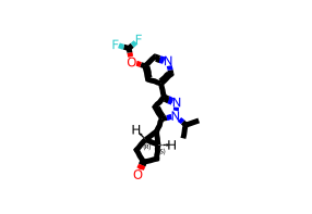 CC(C)n1nc(-c2cncc(OC(F)F)c2)cc1C1[C@H]2CC(=O)C[C@@H]12